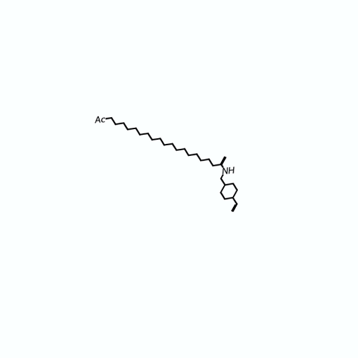 C=CC1CCC(CNC(=C)CCCCCCCCCCCCCCCCCCC(C)=O)CC1